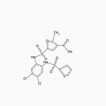 Cc1oc(S(=O)(=O)Nc2cc(Cl)c(Cl)cc2NS(=O)(=O)c2cccs2)cc1C(=O)O